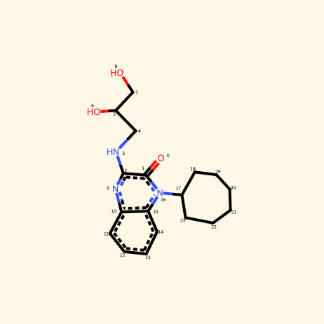 O=c1c(NCC(O)CO)nc2ccccc2n1C1CCCCCC1